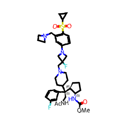 COC(=O)N[C@H]1CCC[C@@H]1[C@](CNC(C)=O)(c1cccc(F)c1)C1CCN(CC2(F)CN(c3ccc(S(=O)(=O)C4CC4)c(CN4CCC4)c3)C2)CC1